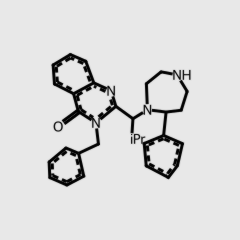 CC(C)C(c1nc2ccccc2c(=O)n1Cc1ccccc1)N1CCNCCC1c1ccccc1